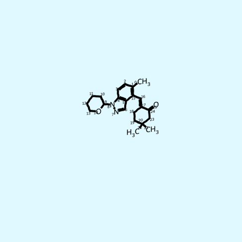 Cc1ccc2c(cnn2C2CCCCO2)c1C=C1CCC(C)(C)CC1=O